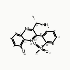 C[C@H](N)c1nc2cccc(Cl)c2nc1-c1ccccc1S(C)(=O)=O